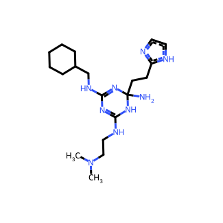 CN(C)CCNC1=NC(NCC2CCCCC2)=NC(N)(CCc2ncc[nH]2)N1